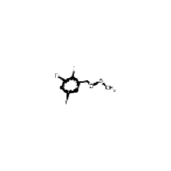 COOCc1cc(F)cc(F)c1F